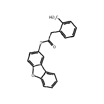 O=C(Cc1ccccc1C(=O)O)Oc1ccc2oc3ccccc3c2c1